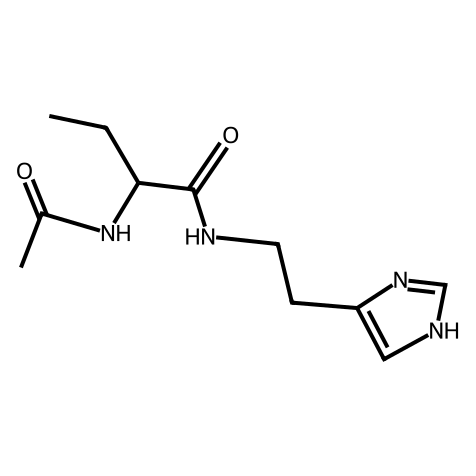 CCC(NC(C)=O)C(=O)NCCc1c[nH]cn1